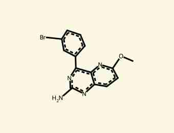 COc1ccc2nc(N)nc(-c3cccc(Br)c3)c2n1